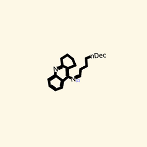 CCCCCCCCCCCCC/C=N\c1c2c(nc3ccccc13)CCCC2